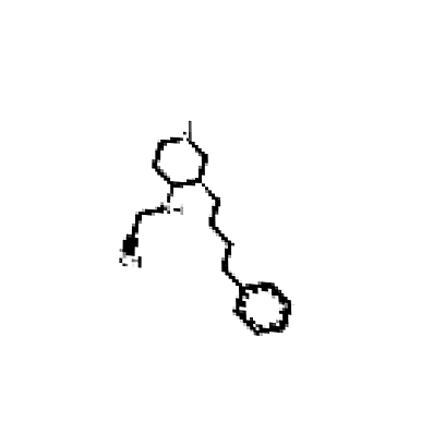 C#CCN[C@H]1CCNC[C@H]1CCCCc1ccccc1